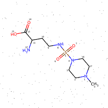 CN1CCN(S(=O)(=O)NCCC(N)C(=O)O)CC1